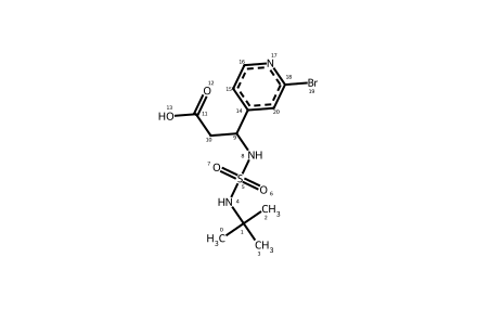 CC(C)(C)NS(=O)(=O)NC(CC(=O)O)c1ccnc(Br)c1